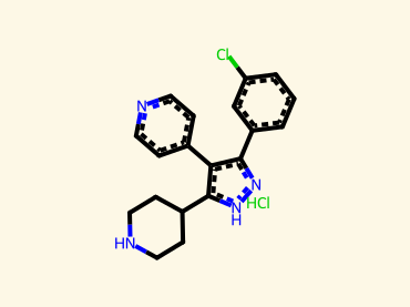 Cl.Clc1cccc(-c2n[nH]c(C3CCNCC3)c2-c2ccncc2)c1